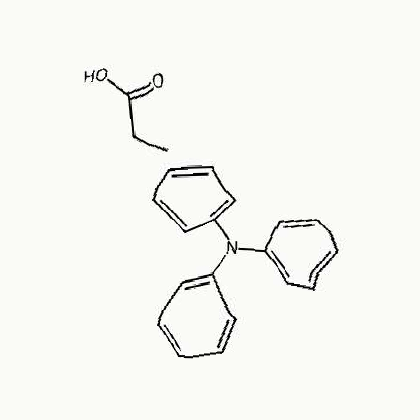 CCC(=O)O.c1ccc(N(c2ccccc2)c2ccccc2)cc1